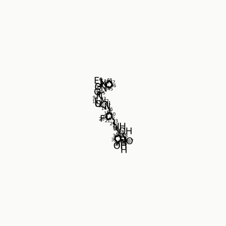 CCn1c(=O)n(CC(=O)N2CCOC3(CCN(Cc4cc(F)cc(CCNCC(O)c5ccc(O)c6[nH]c(=O)sc56)c4)CC3)C2)c2ccccc21